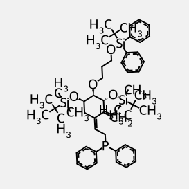 C=C1/C(=C\CP(c2ccccc2)c2ccccc2)C[C@@H](O[Si](C)(C)C(C)(C)C)[C@@H](OCCCO[Si](c2ccccc2)(c2ccccc2)C(C)(C)C)[C@@H]1O[Si](C)(C)C(C)(C)C